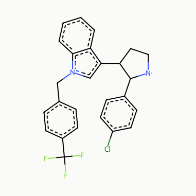 FC(F)(F)c1ccc(Cn2cc(C3CC[N]C3c3ccc(Cl)cc3)c3ccccc32)cc1